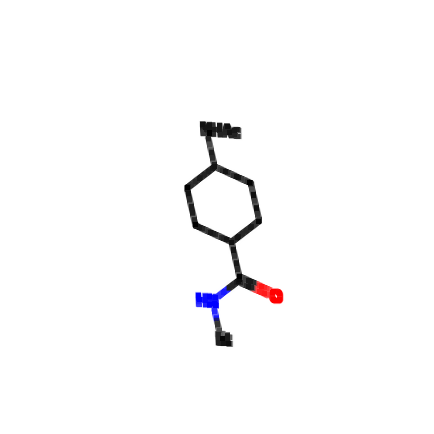 CCNC(=O)C1CCC(NC(C)=O)CC1